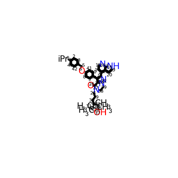 CC(C)c1ccc(COc2ccc(-c3c(-c4ccnc5[nH]ccc45)nn4c3C(=O)N(CCCC(C)(C)[Si](C)(C)O)CC4)cc2)cc1